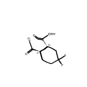 COC(=O)[C@@H]1CC(F)(F)CC[C@H]1C(=O)Cl